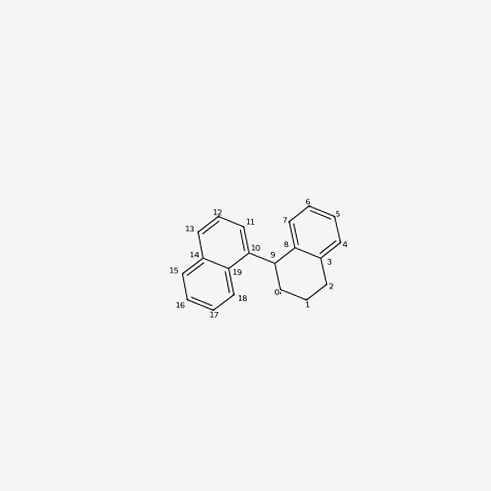 [CH]1CCc2ccccc2C1c1cccc2ccccc12